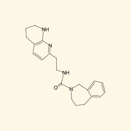 O=C(NCCc1ccc2c(n1)NCCC2)N1CCCc2ccccc2C1